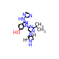 CC(C)c1nc(N2C[C@@H]3C[C@H]2CN3)cc(-n2nc(Nc3cnccn3)c3ccc(O)cc32)n1